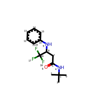 CC(C)(C)NC(=O)CC(Nc1ccccc1)C(F)(F)F